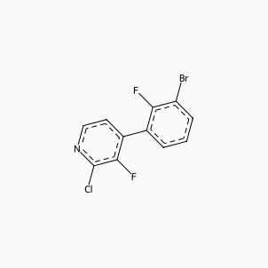 Fc1c(Br)cccc1-c1ccnc(Cl)c1F